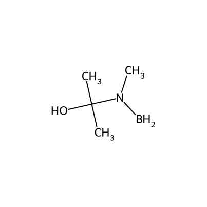 BN(C)C(C)(C)O